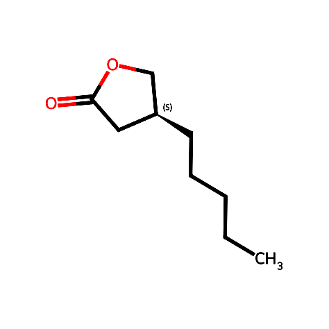 CCCCC[C@@H]1COC(=O)C1